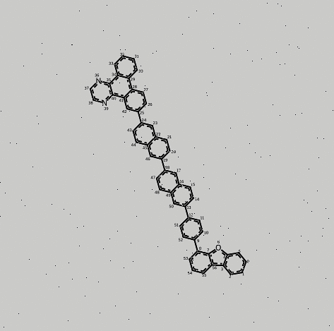 c1ccc2c(c1)oc1c(-c3ccc(-c4ccc5cc(-c6ccc7cc(-c8ccc9c%10ccccc%10c%10nccnc%10c9c8)ccc7c6)ccc5c4)cc3)cccc12